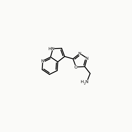 NCc1nnc(-c2c[nH]c3ncccc23)o1